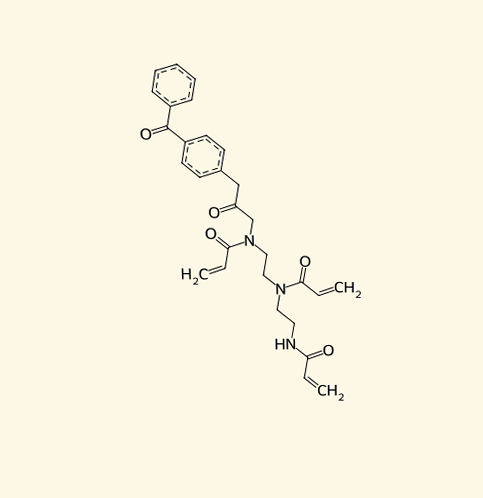 C=CC(=O)NCCN(CCN(CC(=O)Cc1ccc(C(=O)c2ccccc2)cc1)C(=O)C=C)C(=O)C=C